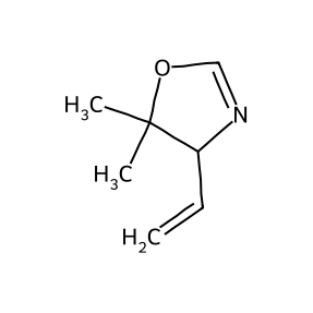 C=CC1N=COC1(C)C